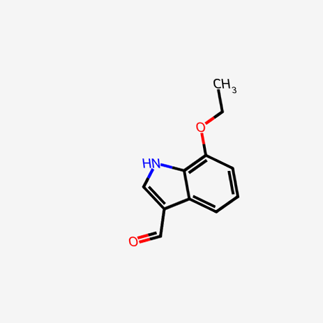 CCOc1cccc2c(C=O)c[nH]c12